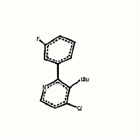 CC(C)(C)c1c(Cl)ccnc1-c1cccc(F)c1